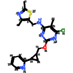 Cc1nc(C)c(CNc2nc(OCC3CC3c3ccccn3)nc(Cl)c2C)s1